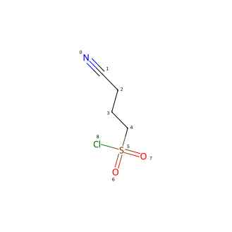 N#CCCCS(=O)(=O)Cl